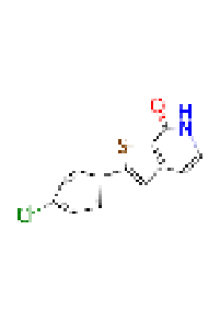 O=c1[nH]ccc2cc(-c3ccc(Cl)cc3)sc12